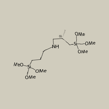 CO[Si](CCCNC[C@H](C)C[Si](OC)(OC)OC)(OC)OC